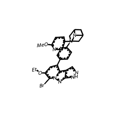 CCOc1cc(-c2ccc(N3CC4CC(C3)N4Cc3ccc(OC)nc3)nc2)c2c3cn[nH]c3nn2c1Br